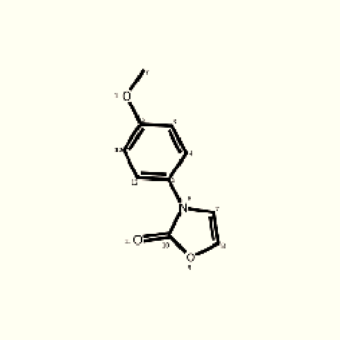 COc1ccc(-n2ccoc2=O)cc1